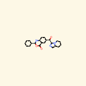 O=C(c1ccc2nc(-c3ccccc3)oc(=O)c2c1)c1ncc2ccccn12